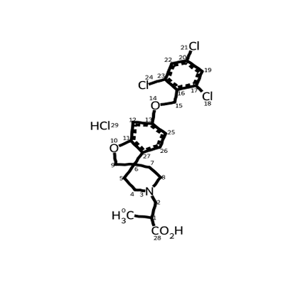 CC(CN1CCC2(CC1)COc1cc(OCc3c(Cl)cc(Cl)cc3Cl)ccc12)C(=O)O.Cl